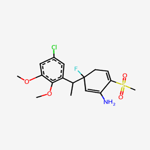 COc1cc(Cl)cc(C(C)C2(F)C=C(N)C(S(C)(=O)=O)=CC2)c1OC